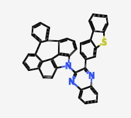 c1ccc2c(c1)-c1cccc3ccc4c(c13)c1c-2cccc1n4-c1nc2ccccc2nc1-c1ccc2c(c1)sc1ccccc12